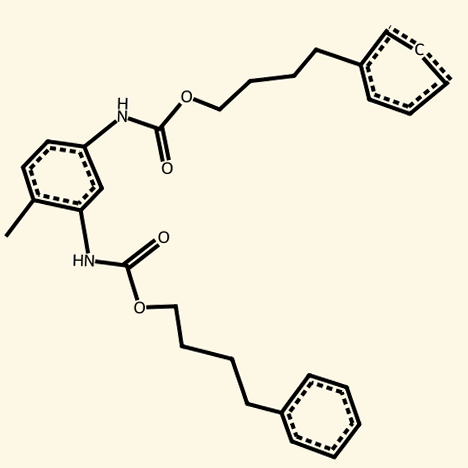 Cc1ccc(NC(=O)OCCCCc2ccccc2)cc1NC(=O)OCCCCc1ccccc1